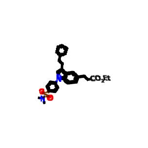 CCOC(=O)CCc1ccc2c(c1)c(CCc1ccccc1)cn2-c1ccc(S(=O)(=O)N(C)C)cc1